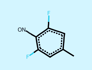 Cc1cc(F)c(N=O)c(F)c1